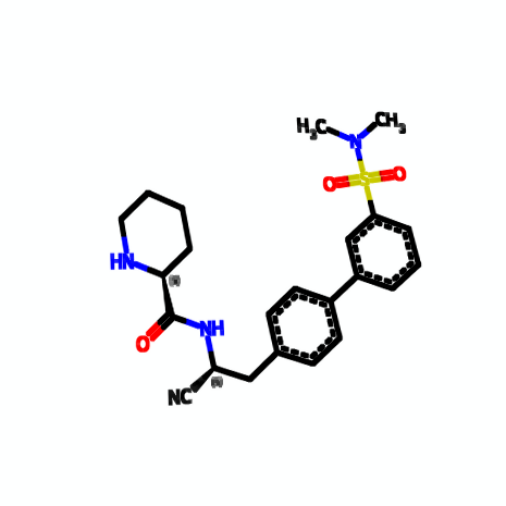 CN(C)S(=O)(=O)c1cccc(-c2ccc(C[C@@H](C#N)NC(=O)[C@@H]3CCCCN3)cc2)c1